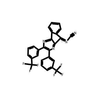 N#C/N=C1\c2ccccc2-c2nc(-c3cccc(C(F)(F)F)c3)c(-c3cccc(C(F)(F)F)c3)nc21